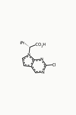 CC(C)[C@H](C(=O)O)n1ccc2cnc(Cl)nc21